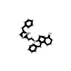 O=C1CCCc2c1ccc(OCCc1ncc(Cc3ccccc3)[nH]1)c2Cc1ccccc1